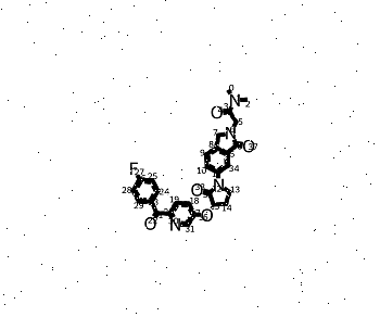 CN(C)C(=O)CN1Cc2ccc(N3CC[C@@H](Oc4ccc(C(=O)c5ccc(F)cc5)nc4)C3=O)cc2C1=O